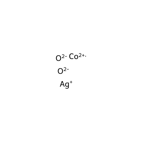 [Ag+].[Co+2].[O-2].[O-2]